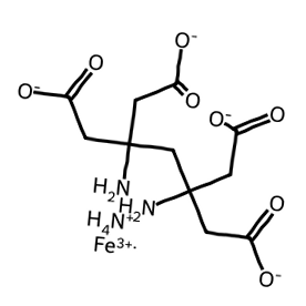 NC(CC(=O)[O-])(CC(=O)[O-])CC(N)(CC(=O)[O-])CC(=O)[O-].[Fe+3].[NH4+]